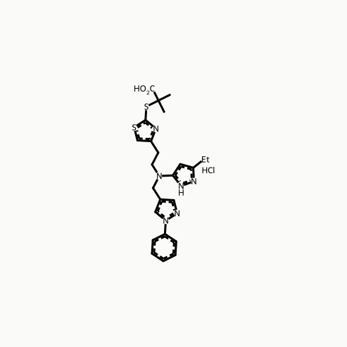 CCc1cc(N(CCc2csc(SC(C)(C)C(=O)O)n2)Cc2cnn(-c3ccccc3)c2)[nH]n1.Cl